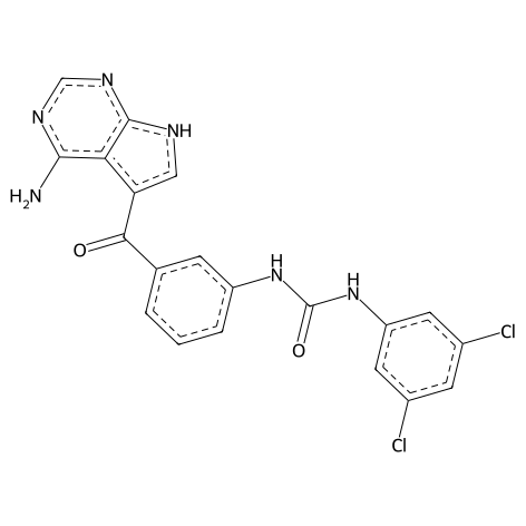 Nc1ncnc2[nH]cc(C(=O)c3cccc(NC(=O)Nc4cc(Cl)cc(Cl)c4)c3)c12